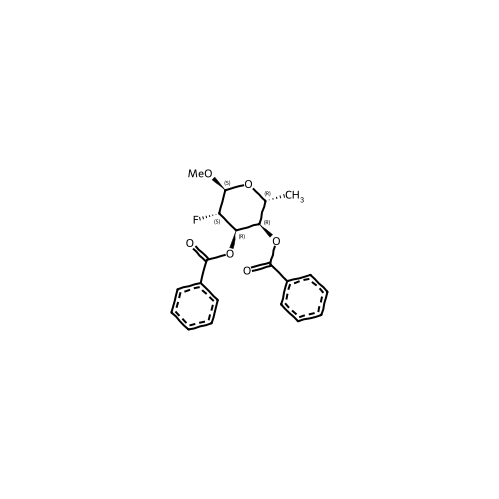 CO[C@H]1O[C@H](C)[C@@H](OC(=O)c2ccccc2)[C@@H](OC(=O)c2ccccc2)[C@@H]1F